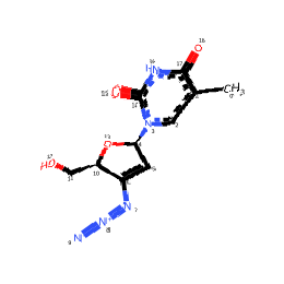 Cc1cn([C@H]2C=C(N=[N+]=[N-])[C@@H](CO)O2)c(=O)[nH]c1=O